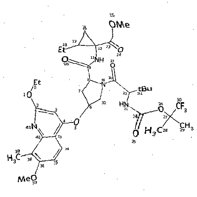 CCOc1cc(OC2CC(C(=O)NC3(C(=O)OC)CC3CC)N(C(=O)C(NC(=O)OC(C)(C)C(F)(F)F)C(C)(C)C)C2)c2ccc(OC)c(C)c2n1